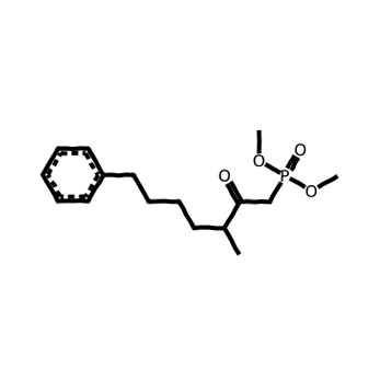 COP(=O)(CC(=O)C(C)CCCCc1ccccc1)OC